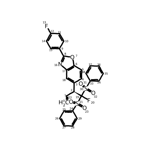 C=C[C@@H](c1ccc2oc(-c3ccc(F)cc3)nc2c1)C(F)(S(=O)(=O)c1ccccc1)S(=O)(=O)c1ccccc1